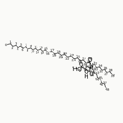 CCCCCCCCCCCCCCCCCCCCCCCCCCCCCC(=O)N(CCCCCCCC)[C@](CCCCCCCC)(CCC(=O)O)C(=O)O